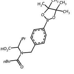 CCCCC(=O)N(Cc1ccc(B2OC(C)(C)C(C)(C)O2)cc1)C(C(=O)O)C(C)C